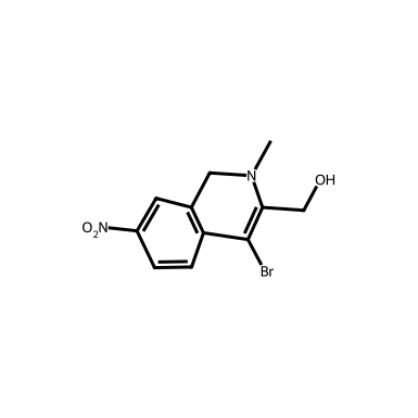 CN1Cc2cc([N+](=O)[O-])ccc2C(Br)=C1CO